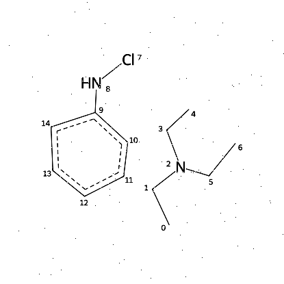 CCN(CC)CC.ClNc1ccccc1